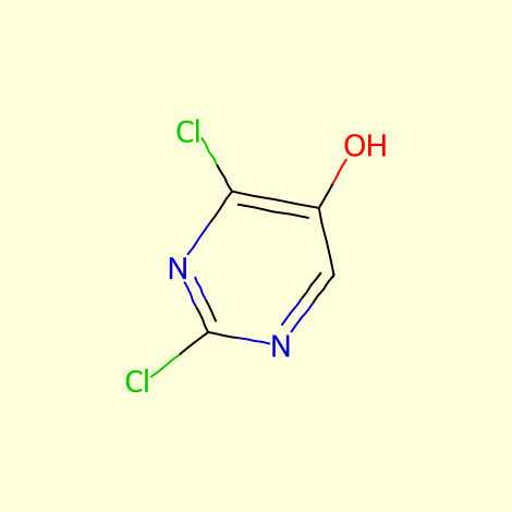 Oc1cnc(Cl)nc1Cl